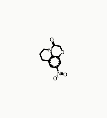 O=C1COc2cc([N+](=O)[O-])cc3c2N1CCC3